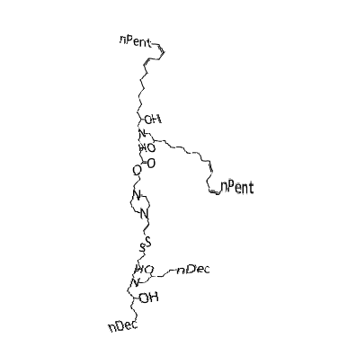 CCCCC/C=C\C/C=C\CCCCCCC(O)CN(CCCC(=O)OCCN1CCN(CCSSCCCCN(CC(O)CCCCCCCCCCCC)CC(O)CCCCCCCCCCCC)CC1)CC(O)CCCCCC/C=C\C/C=C\CCCCC